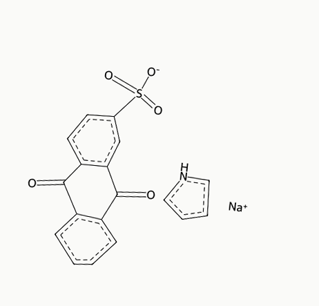 O=C1c2ccccc2C(=O)c2cc(S(=O)(=O)[O-])ccc21.[Na+].c1cc[nH]c1